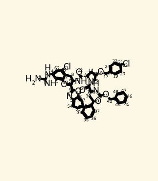 N=C(N)Nc1ccc(CC(NC(=O)[C@@H]2C[C@@H](OCc3ccc(Cl)cc3)CN2C(=O)[C@@H](CCc2ccccc2)NC(=O)OCc2ccccc2)C(=O)c2nc3ccccc3o2)c(Cl)c1